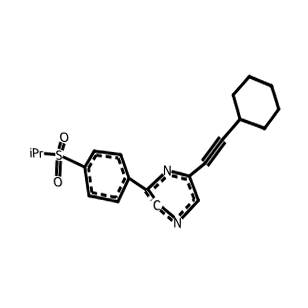 CC(C)S(=O)(=O)c1ccc(-c2cncc(C#CC3CCCCC3)n2)cc1